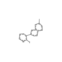 Cc1ccc2ccc(-c3cccnc3I)cc2c1